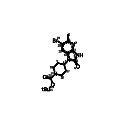 Cc1nc2[nH]c(=O)n(C3CCN(C(=O)OC(C)(C)C)CC3)c2cc1Br